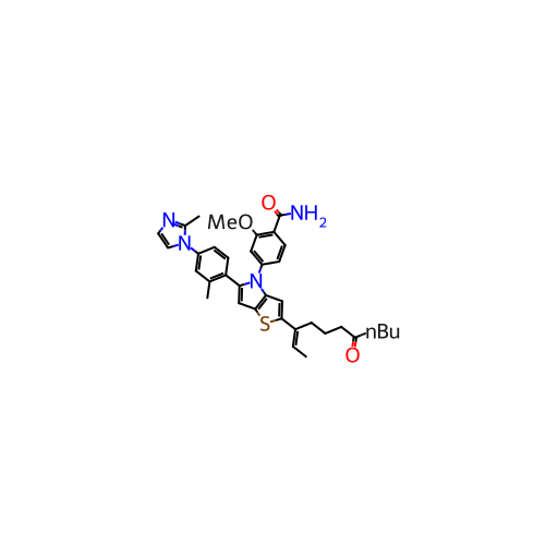 CC=C(CCCC(=O)CCCC)c1cc2c(cc(-c3ccc(-n4ccnc4C)cc3C)n2-c2ccc(C(N)=O)c(OC)c2)s1